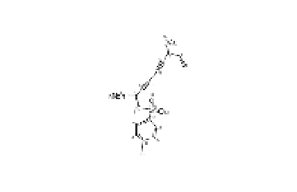 C=CC(C#CC#CC(CCCCCCCCC)OS(=O)(=O)c1ccc(C)cc1)OC(C)=O